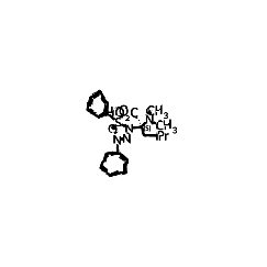 CC(C)C[C@](C(=O)O)(N(C)C)N(N=Nc1ccccc1)S(=O)(=O)c1ccccc1